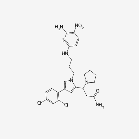 NC(=O)CC(c1cc(-c2ccc(Cl)cc2Cl)cn1CCCNc1ccc([N+](=O)[O-])c(N)n1)N1CCCC1